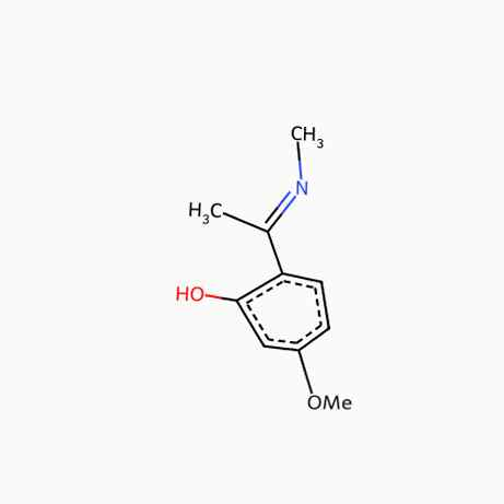 C/N=C(\C)c1ccc(OC)cc1O